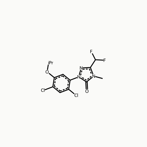 CC(C)Oc1cc(-n2nc(C(F)F)n(C)c2=O)c(Cl)cc1Cl